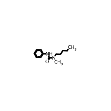 CCCCCN(C)C(=O)Nc1ccccc1